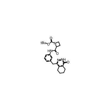 CC(C)(C)OC(=O)N1CCC1C(=O)Nc1cccc(Cc2n[nH]c(=O)c3c2CCCC3)c1